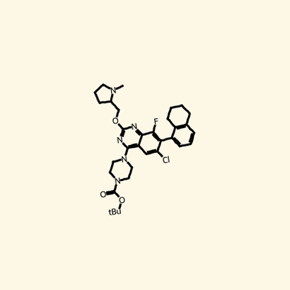 CN1CCCC1COc1nc(N2CCN(C(=O)OC(C)(C)C)CC2)c2cc(Cl)c(-c3cccc4c3CCCC4)c(F)c2n1